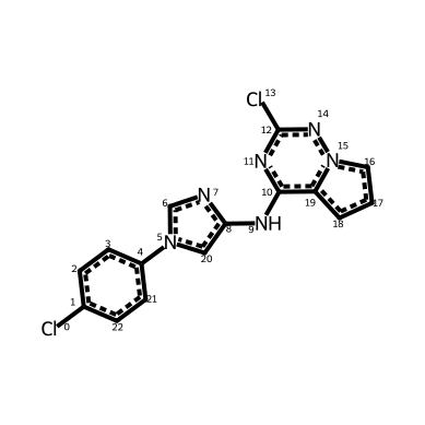 Clc1ccc(-n2cnc(Nc3nc(Cl)nn4cccc34)c2)cc1